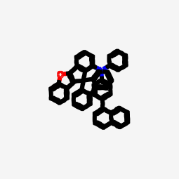 c1ccc(N(c2ccc(-c3cccc4ccccc34)cc2)c2cccc3c2C2(c4ccccc4-c4ccccc42)c2c-3oc3ccccc23)cc1